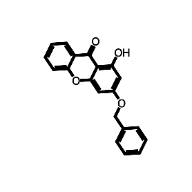 O=c1c2ccccc2oc2cc(OCc3ccccc3)cc(O)c12